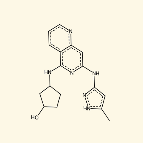 Cc1cc(Nc2cc3ncccc3c(NC3CCC(O)C3)n2)n[nH]1